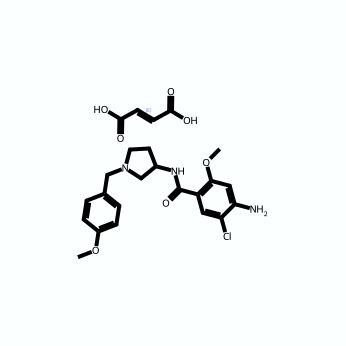 COc1ccc(CN2CCC(NC(=O)c3cc(Cl)c(N)cc3OC)C2)cc1.O=C(O)/C=C/C(=O)O